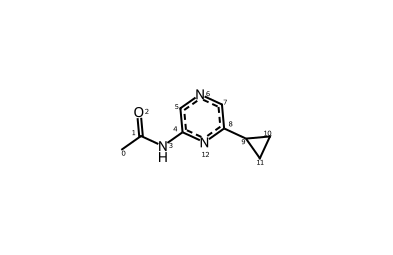 CC(=O)Nc1cncc(C2CC2)n1